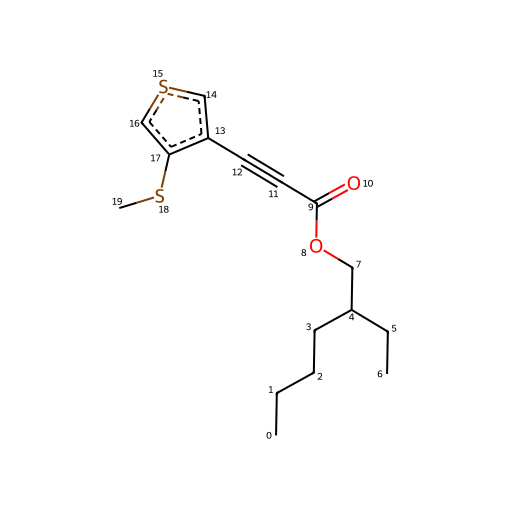 CCCCC(CC)COC(=O)C#Cc1cscc1SC